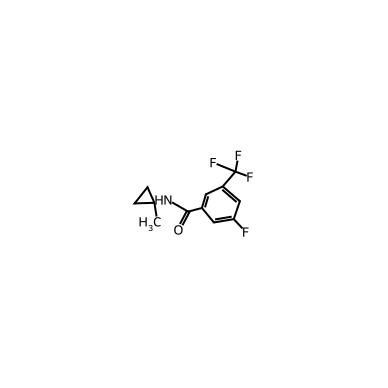 CC1(NC(=O)c2cc(F)cc(C(F)(F)F)c2)CC1